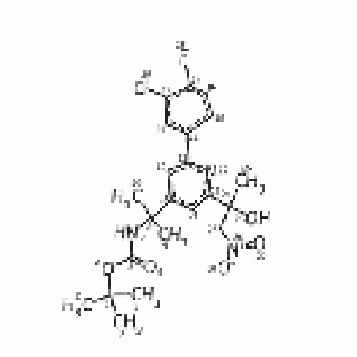 CC(C)(C)OC(=O)NC(C)(C)c1cc(-c2ccc(F)c(Cl)c2)nc(C(C)(O)C[N+](=O)[O-])c1